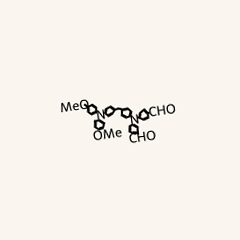 COc1ccc(N(c2ccc(Cc3ccc(N(c4ccc(C=O)cc4)c4ccc(C=O)cc4)cc3)cc2)c2ccc(OC)cc2)cc1